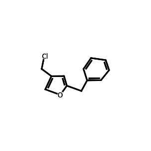 ClCc1coc(Cc2ccccc2)c1